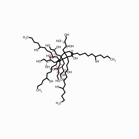 CCCCC(S)CCCCCCCC(CCCCCCCC(S)CCCC)(C[C@H](O)[C@H](O)CO)C(CCCCCCCC(S)CCCC)(C(=O)O)C(C[C@H](O)[C@H](O)CO)(C[C@H](O)[C@H](O)CO)C(CCCCCC(S)CCCC)(C[C@H](O)[C@H](O)CO)C[C@H](O)[C@H](O)CO